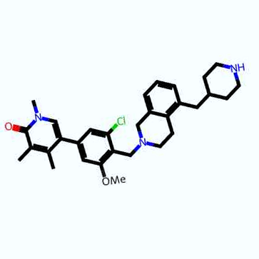 COc1cc(-c2cn(C)c(=O)c(C)c2C)cc(Cl)c1CN1CCc2c(CC3CCNCC3)cccc2C1